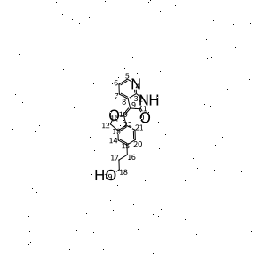 O=C1Nc2ncccc2C1=C1OCc2cc(CCCO)ccc21